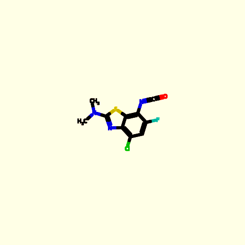 CN(C)c1nc2c(Cl)cc(F)c(N=C=O)c2s1